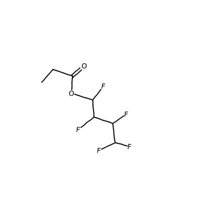 CCC(=O)OC(F)C(F)C(F)C(F)F